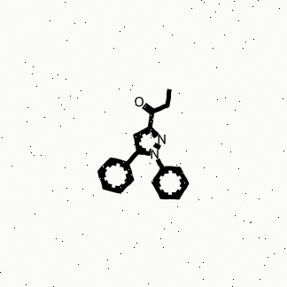 CCC(=O)c1cc(-c2ccccc2)n(-c2ccccc2)n1